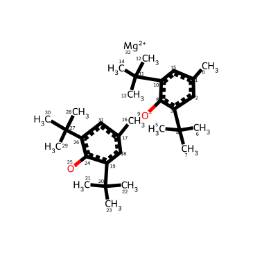 Cc1cc(C(C)(C)C)c([O-])c(C(C)(C)C)c1.Cc1cc(C(C)(C)C)c([O-])c(C(C)(C)C)c1.[Mg+2]